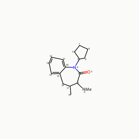 CNC1C(=O)N(C2CCCC2)c2ccccc2CC1C